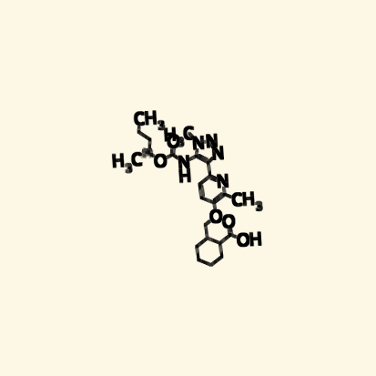 CCC[C@@H](C)OC(=O)Nc1c(-c2ccc(OCC3CCCCC3C(=O)O)c(C)n2)nnn1C